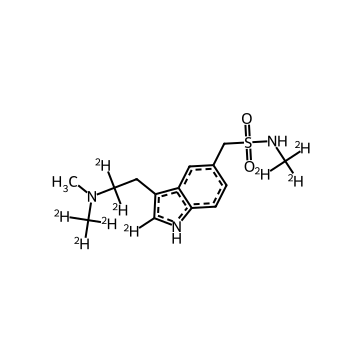 [2H]c1[nH]c2ccc(CS(=O)(=O)NC([2H])([2H])[2H])cc2c1CC([2H])([2H])N(C)C([2H])([2H])[2H]